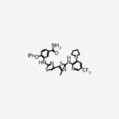 Cc1nc(Nc2ncc(C(F)(F)F)cc2N2CCCC2)sc1-c1csc(Nc2cc(C(N)=O)ccc2OC(C)C)n1